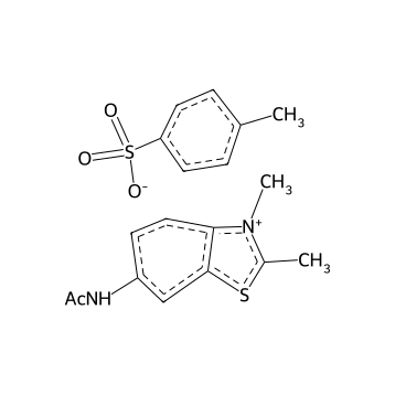 CC(=O)Nc1ccc2c(c1)sc(C)[n+]2C.Cc1ccc(S(=O)(=O)[O-])cc1